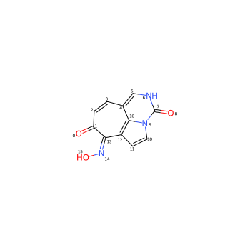 O=c1ccc2c[nH]c(=O)n3ccc(c1=NO)c23